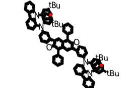 CC(C)(C)c1cc(-n2c3ccccc3c3cccc(N(c4ccccc4)c4ccc5oc6c(-c7ccccc7)c7cc8c(oc9ccc(N(c%10ccccc%10)c%10cccc%11c%12ccccc%12n(-c%12cc(C(C)(C)C)cc(C(C)(C)C)c%12)c%10%11)cc98)c(-c8ccccc8)c7cc6c5c4)c32)cc(C(C)(C)C)c1